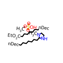 CCCCCCCCCCCCCCCCCC(=O)OCC.CCCCCCCCCCCCCCCCCC1NCCN1C.COS(=O)(=O)O